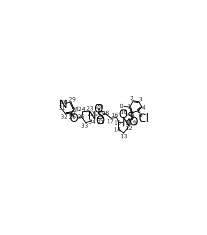 Cc1cccc(Cl)c1S(=O)(=O)N1CCCC1CCCS(=O)(=O)N1CCC(Oc2ccncc2)CC1